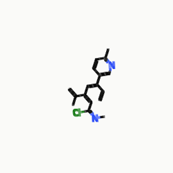 C=C\C(=C/C(=C/C(Cl)=N\C)C(=C)C)c1ccc(C)nc1